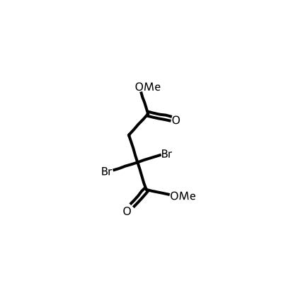 COC(=O)CC(Br)(Br)C(=O)OC